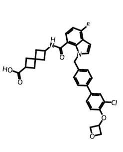 O=C(NC1CC2(C1)CC(C(=O)O)C2)c1ccc(F)c2ccn(Cc3ccc(-c4ccc(OC5COC5)c(Cl)c4)cc3)c12